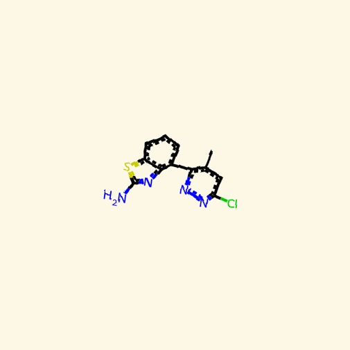 Cc1cc(Cl)nnc1-c1cccc2sc(N)nc12